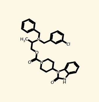 CC(COC(=O)N1CCC(n2c(=O)[nH]c3ccccc32)CC1)N(Cc1ccccc1)Cc1cccc(Cl)c1